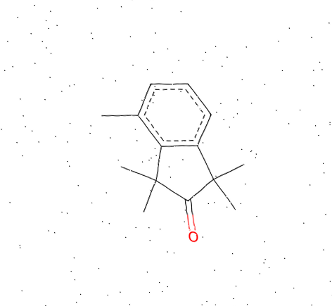 Cc1cccc2c1C(C)(C)C(=O)C2(C)C